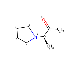 CC(=O)[C@@H](C)N1CCCC1